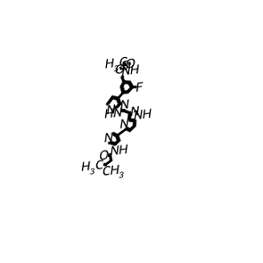 CC(C)CC(=O)Nc1cncc(-c2ccc3[nH]nc(-c4nc5c(-c6cc(F)cc(CNS(C)(=O)=O)c6)ccnc5[nH]4)c3n2)c1